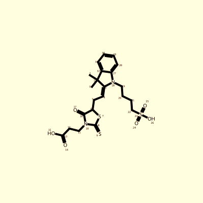 CC1(C)/C(=C\CC2SC(=S)N(CCC(=O)O)C2=O)N(CCCCS(=O)(=O)O)c2ccccc21